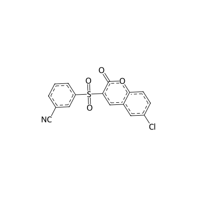 N#Cc1cccc(S(=O)(=O)c2cc3cc(Cl)ccc3oc2=O)c1